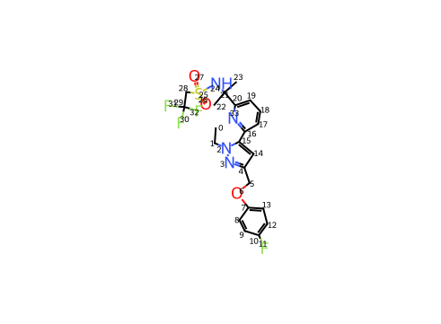 CCn1nc(COc2ccc(F)cc2)cc1-c1cccc(C(C)(C)NS(=O)(=O)CC(F)(F)F)n1